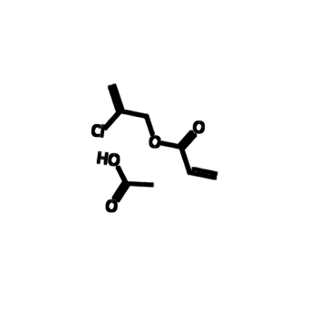 C=CC(=O)OCC(=C)Cl.CC(=O)O